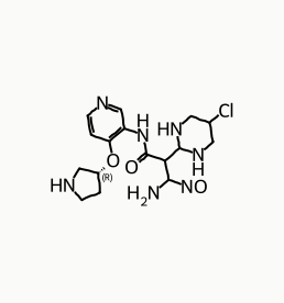 NC(N=O)C(C(=O)Nc1cnccc1O[C@@H]1CCNC1)C1NCC(Cl)CN1